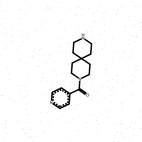 O=C(c1ccncc1)N1CCC2(CCNCC2)CC1